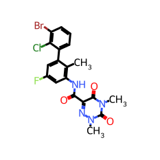 Cc1c(NC(=O)c2nn(C)c(=O)n(C)c2=O)cc(F)cc1-c1cccc(Br)c1Cl